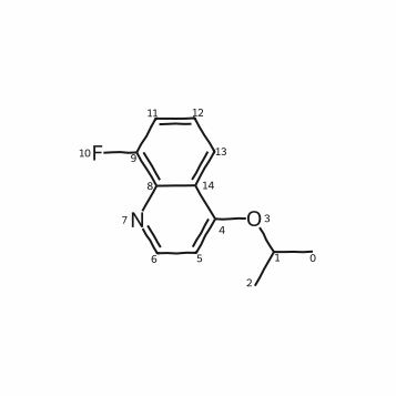 CC(C)Oc1ccnc2c(F)cccc12